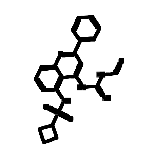 N=C(NC=O)Nc1cc(-c2ccccc2)nc2cccc(NS(=O)(=O)C3CCC3)c12